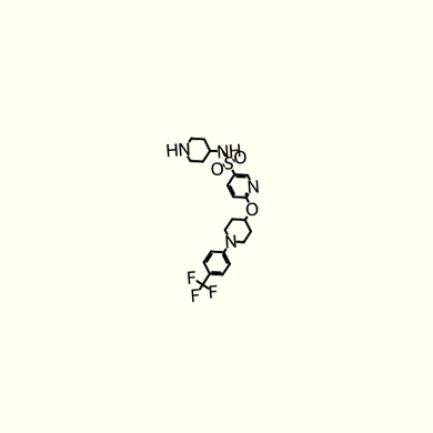 O=S(=O)(NC1CCNCC1)c1ccc(OC2CCN(c3ccc(C(F)(F)F)cc3)CC2)nc1